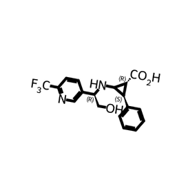 O=C(O)[C@H]1C(N[C@@H](CO)c2ccc(C(F)(F)F)nc2)[C@@H]1c1ccccc1